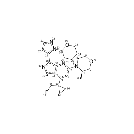 C[C@@H]1COCCN1c1cc(C2(CF)CC2)c2snc(-c3ccnn3C3CCCCO3)c2n1